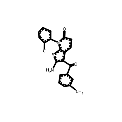 Cc1cccc(C(=O)c2c(N)sc3c2ccc(=O)n3-c2ccccc2Cl)c1